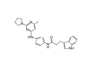 Cc1cc(Nc2ccc(NC(=O)CCc3c[nH]c4ccccc34)cc2)nc(N2CCCC2)n1